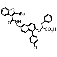 CCCCc1oc2ccccc2c1C(=O)NCc1ccc2c(-c3ccc(Cl)cc3)c(OC(Cc3ccccc3)C(=O)O)ccc2c1